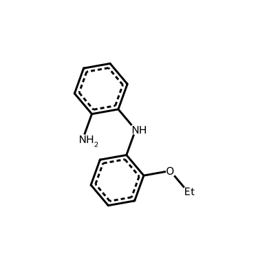 CCOc1ccccc1Nc1ccccc1N